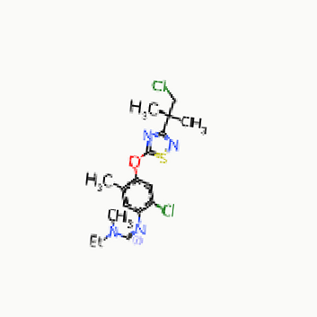 CCN(C)/C=N\c1cc(C)c(Oc2nc(C(C)(C)CCl)ns2)cc1Cl